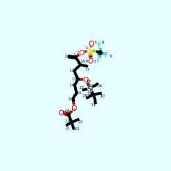 C=C(OS(=O)(=O)C(F)(F)F)C(C)CC(CCCOC(=O)C(C)(C)C)O[Si](C)(C)C(C)(C)C